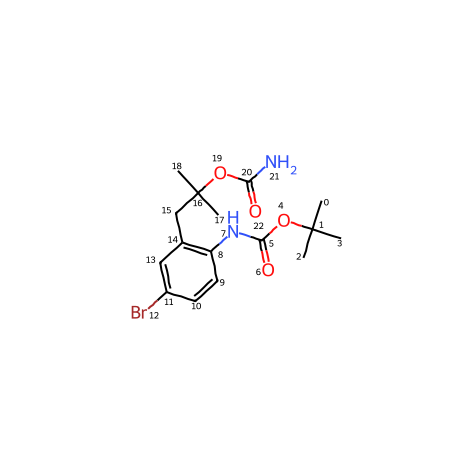 CC(C)(C)OC(=O)Nc1ccc(Br)cc1CC(C)(C)OC(N)=O